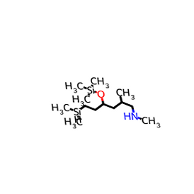 CNCC(C)CC(CC[SiH](C)C)O[Si](C)(C)C